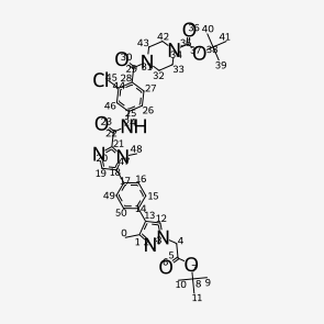 Cc1nn(CC(=O)OC(C)(C)C)cc1-c1ccc(-c2cnc(C(=O)Nc3ccc(C(=O)N4CCN(C(=O)OC(C)(C)C)CC4)c(Cl)c3)n2C)cc1